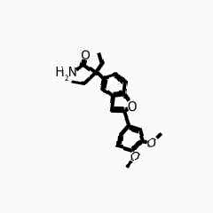 CCC(CC)(C(N)=O)c1ccc2oc(-c3ccc(OC)c(OC)c3)cc2c1